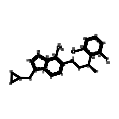 C[C@@H](COc1ccn2c(CC3CC3)nnc2c1C(F)(F)F)c1c(F)cccc1Cl